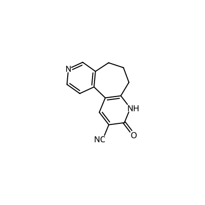 N#Cc1cc2c([nH]c1=O)CCCc1cnccc1-2